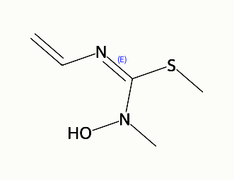 C=C/N=C(/SC)N(C)O